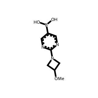 COC1CN(c2ncc(B(O)O)cn2)C1